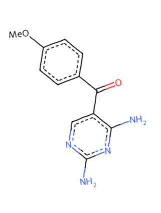 COc1ccc(C(=O)c2cnc(N)nc2N)cc1